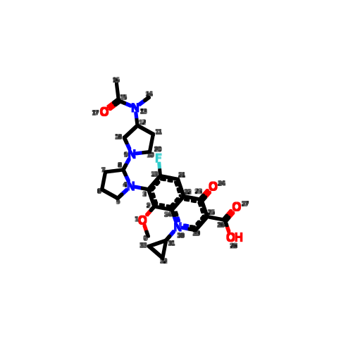 COc1c(N2CCCC2N2CCC(N(C)C(C)=O)C2)c(F)cc2c(=O)c(C(=O)O)cn(C3CC3)c12